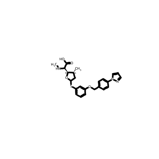 CNC(C(=O)O)[C@@H]1OC(Sc2cccc(OCc3ccc(-n4cccn4)cc3)c2)C[C@H]1C